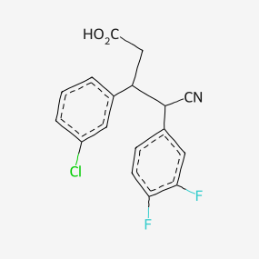 N#CC(c1ccc(F)c(F)c1)C(CC(=O)O)c1cccc(Cl)c1